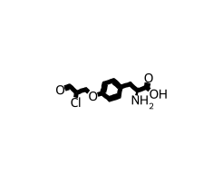 N[C@@H](Cc1ccc(OCC(Cl)C=O)cc1)C(=O)O